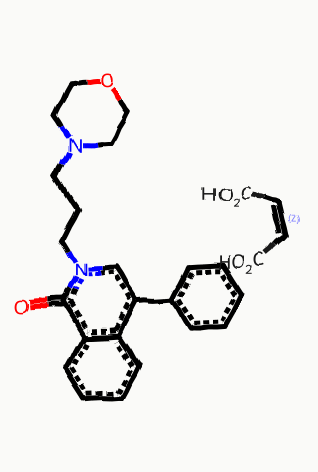 O=C(O)/C=C\C(=O)O.O=c1c2ccccc2c(-c2ccccc2)cn1CCCN1CCOCC1